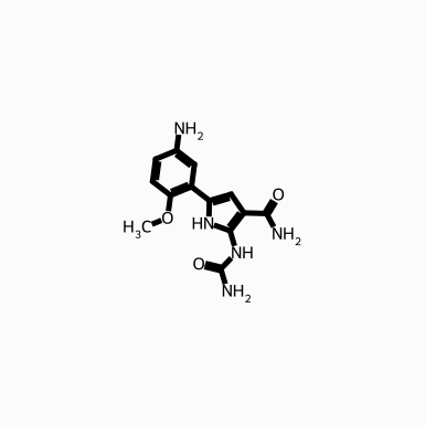 COc1ccc(N)cc1-c1cc(C(N)=O)c(NC(N)=O)[nH]1